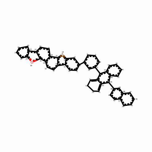 C1=c2c(-c3cccc(-c4ccc5c(c4)sc4c5ccc5c4ccc4c6ccccc6oc45)c3)c3ccccc3c(-c3ccc4ccccc4c3)c2=CCC1